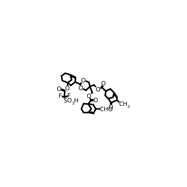 CC1C=C2CC(C(=O)OCC3(COC(=O)C45CCCC(=CC(C=O)C4)C5)COC(C4C=C5CCCC(OC(=O)C(F)(F)S(=O)(=O)O)(C5)C4)OC3)CC(C2)C1=O